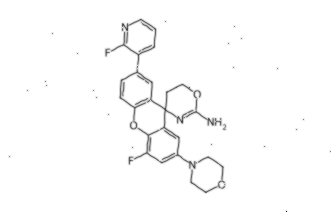 NC1=NC2(CCO1)c1cc(-c3cccnc3F)ccc1Oc1c(F)cc(N3CCOCC3)cc12